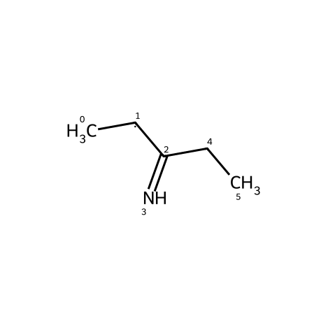 C[CH]C(=N)CC